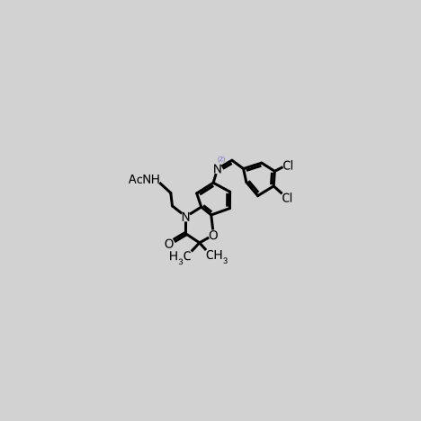 CC(=O)NCCN1C(=O)C(C)(C)Oc2ccc(/N=C\c3ccc(Cl)c(Cl)c3)cc21